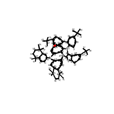 Cc1cc2c3c(c1)N(c1ccc(C(C)(C)C)cc1-c1ccc(C(C)(C)C)cc1)c1c(sc4ccc(C(C)(C)C)cc14)B3c1cc3c(cc1N2c1ccc2c(c1)C(C)(C)CCC2(C)C)C(C)(C)CCC3(C)C